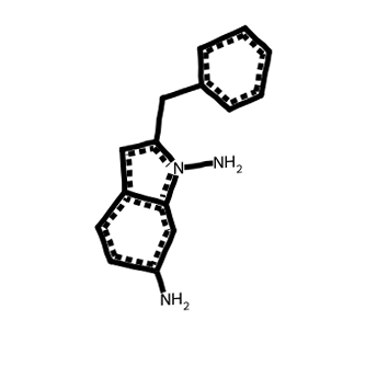 Nc1ccc2cc(Cc3ccccc3)n(N)c2c1